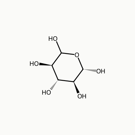 OC1O[C@H](O)[C@@H](O)[C@H](O)[C@H]1O